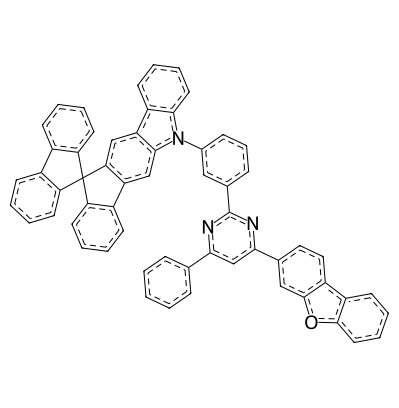 c1ccc(-c2cc(-c3ccc4c(c3)oc3ccccc34)nc(-c3cccc(-n4c5ccccc5c5cc6c(cc54)-c4ccccc4C64c5ccccc5-c5ccccc54)c3)n2)cc1